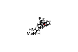 CN/C=C(\C=N)Nc1ncc(F)c(C2=CC3CCC(C2)N3C(=O)C2CC2(F)F)n1